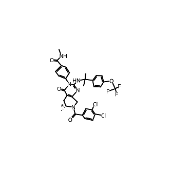 CNC(=O)c1ccc(-n2c(NC(C)(C)c3ccc(OC(F)(F)F)cc3)nc3c(c2=O)C[C@@H](C)N(C(=O)c2ccc(Cl)c(Cl)c2)C3)cc1